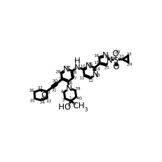 CC1(O)CCN(c2cc(Nc3ccnc(-c4cnn(S(=O)(=O)C5CC5)c4)n3)ncc2C#CC2CC3CCC2O3)CC1